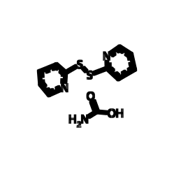 NC(=O)O.c1ccc(SSc2ccccn2)nc1